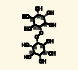 O[C@@H]1[C@H](O)[C@@H](O)[C@H](OO[C@H]2[C@@H](O)[C@H](O)[C@@H](O)[C@@H](O)[C@@H]2O)[C@@H](O)[C@H]1O